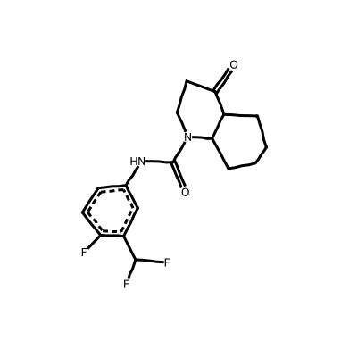 O=C1CCN(C(=O)Nc2ccc(F)c(C(F)F)c2)C2CCCCC12